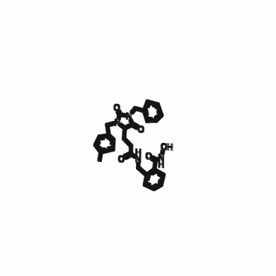 Cc1ccc(CN2C(=O)N(Cc3ccccc3)C(=O)C2CCC(=O)NCc2ccccc2C(=O)NO)cc1